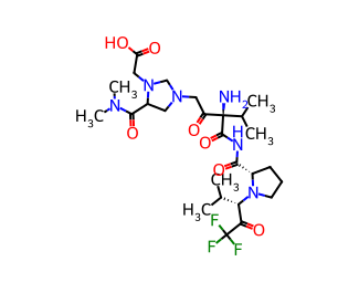 CC(C)[C@@H](C(=O)C(F)(F)F)N1CCC[C@H]1C(=O)NC(=O)[C@](N)(C(=O)CN1CC(C(=O)N(C)C)N(CC(=O)O)C1)C(C)C